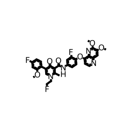 COc1cc(F)ccc1-c1cn(CCF)c(C)c(C(=O)Nc2ccc(Oc3ccnc4cc(OC)c(OC)nc34)c(F)c2)c1=O